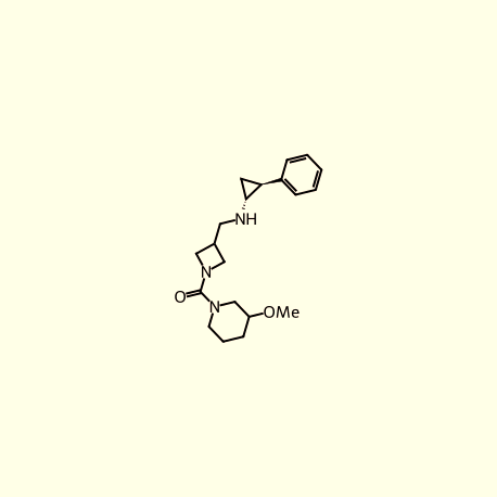 COC1CCCN(C(=O)N2CC(CN[C@@H]3C[C@H]3c3ccccc3)C2)C1